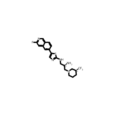 N[C@H](CNc1ncc(-c2ccc3cnc(F)cc3c2)s1)CN1CCC[C@H](C(F)(F)F)C1